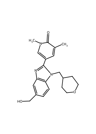 Cc1cc(-c2nc3cc(CO)ccc3n2CC2CCOCC2)cn(C)c1=O